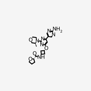 C[C@H]1COCCN1c1nc(O[C@H]2C[C@H](NC(=O)[C@@H]3CCCO3)C2)cc(-c2cnc(N)nc2)n1